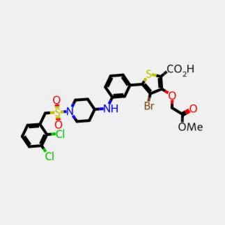 COC(=O)COc1c(C(=O)O)sc(-c2cccc(NC3CCN(S(=O)(=O)Cc4cccc(Cl)c4Cl)CC3)c2)c1Br